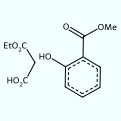 CCOC(=O)CC(=O)O.COC(=O)c1ccccc1O